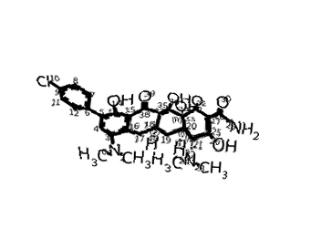 CN(C)c1cc(-c2ccc(Cl)cc2)c(O)c2c1C[C@@H]1C[C@@H]3[C@@H](N(C)C)C(O)=C(C(N)=O)C(=O)[C@]3(O)C(O)=C1C2=O